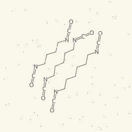 O=C=NCCCCCCN=C=O.O=C=NCCCCCN=C=O.O=C=NCCCCN=C=O